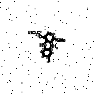 CCOC(=O)Oc1cnc(SC)nc1Nc1ccc(C)cc1N